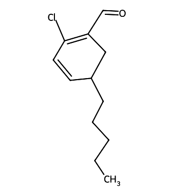 CCCCCC1C=CC(Cl)=C(C=O)C1